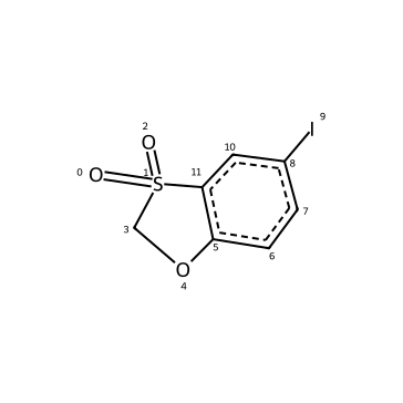 O=S1(=O)COc2ccc(I)cc21